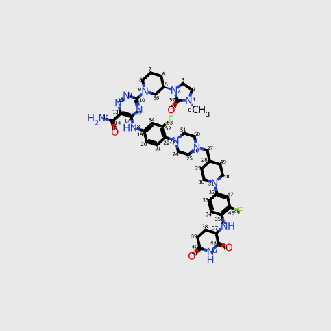 CN1CCN([C@@H]2CCCN(c3nnc(C(N)=O)c(Nc4ccc(N5CCN(CC6CCN(c7ccc(NC8CCC(=O)NC8=O)c(F)c7)CC6)CC5)c(F)c4)n3)C2)C1=O